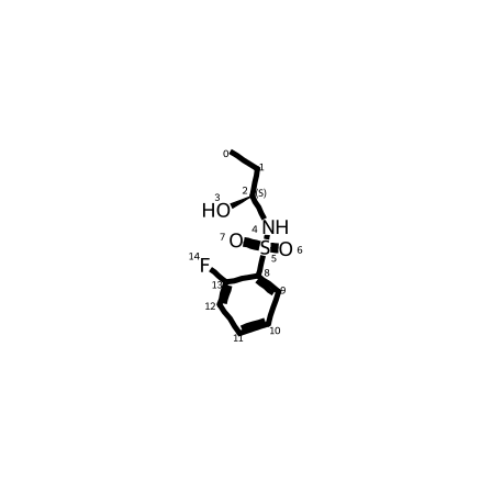 CC[C@H](O)NS(=O)(=O)c1ccccc1F